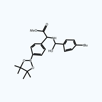 COC(=O)C(NC(O)c1ccc(C(C)(C)C)cc1)c1ccc(B2OC(C)(C)C(C)(C)O2)cc1